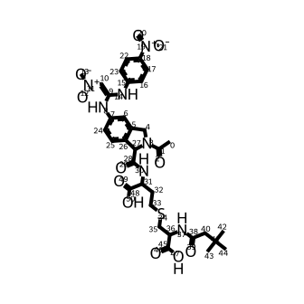 CC(=O)N1Cc2cc(NC(=C[N+](=O)[O-])Nc3ccc([N+](=O)[O-])cc3)ccc2C1C(=O)NC(CCSCC(NC(=O)CC(C)(C)C)C(=O)O)C(=O)O